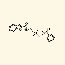 O=C(NCC1CC12CCN(C(=O)c1cncnc1)CC2)c1cc2ccncc2o1